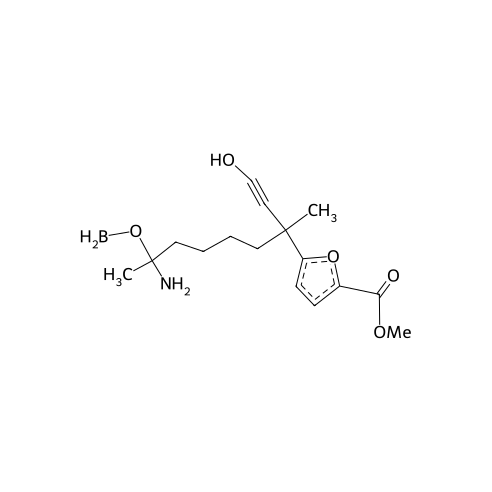 BOC(C)(N)CCCCC(C)(C#CO)c1ccc(C(=O)OC)o1